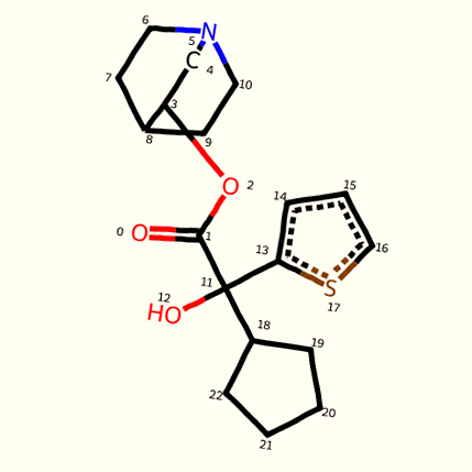 O=C(OC1CN2CCC1CC2)C(O)(c1cccs1)C1CCCC1